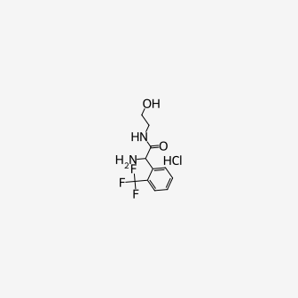 Cl.NC(C(=O)NCCO)c1ccccc1C(F)(F)F